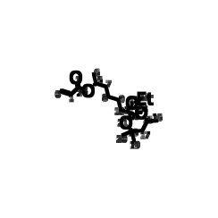 C=CC(=O)OC(C)CCCC[Si]1(OCC)OC(C)CC(C)(C)O1